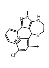 Cn1nc(-c2ccccn2)c2c1NCCSC2c1ccc(Cl)cc1F